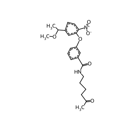 COC(C)c1ccc([N+](=O)[O-])c(Oc2cccc(C(=O)NCCCCC(C)=O)c2)c1